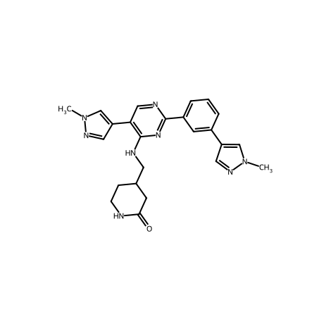 Cn1cc(-c2cccc(-c3ncc(-c4cnn(C)c4)c(NCC4CCNC(=O)C4)n3)c2)cn1